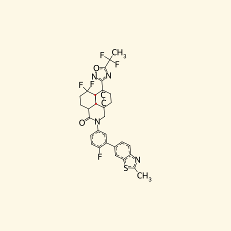 Cc1nc2ccc(-c3cc(N(CC45CCC(c6noc(C(C)(F)F)n6)(CC4)CC5)C(=O)C4CCC(F)(F)CC4)ccc3F)cc2s1